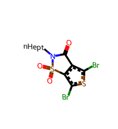 CCCCCCCN1C(=O)c2c(Br)sc(Br)c2S1(=O)=O